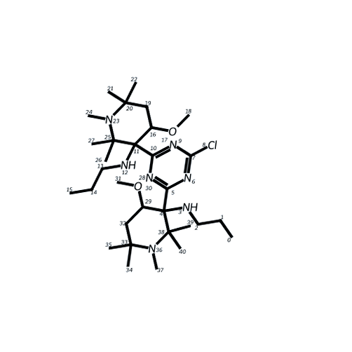 CCCNC1(c2nc(Cl)nc(C3(NCCC)C(OC)CC(C)(C)N(C)C3(C)C)n2)C(OC)CC(C)(C)N(C)C1(C)C